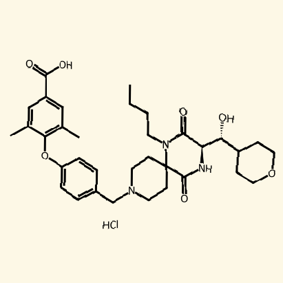 CCCCN1C(=O)[C@@H]([C@H](O)C2CCOCC2)NC(=O)C12CCN(Cc1ccc(Oc3c(C)cc(C(=O)O)cc3C)cc1)CC2.Cl